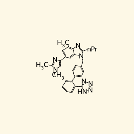 CCCc1nc2c(C)cc(-c3cn(C)c(C)n3)cc2n1Cc1ccc(-c2ccccc2-c2nnn[nH]2)cc1